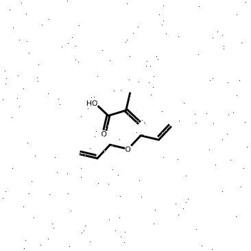 C=C(C)C(=O)O.C=CCOCC=C